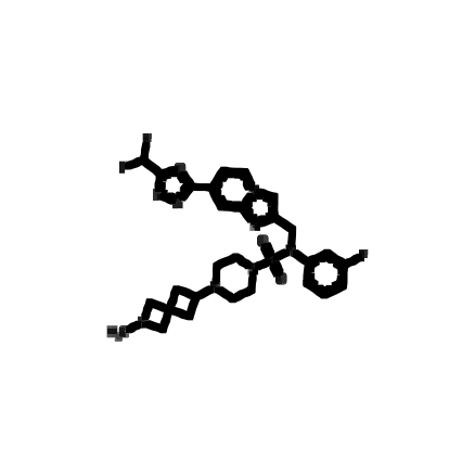 CN1CC2(CC(N3CCN(S(=O)(=O)N(Cc4cn5ccc(-c6nnc(C(F)F)o6)cc5n4)c4cccc(F)c4)CC3)C2)C1